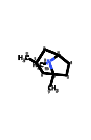 CC1C[C]2CCC(C)(C1)N2C